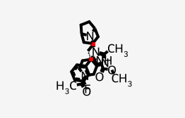 COC(=O)N[C@@H](CCN1C2CCC1CC(n1c(C)nc3c1CCN(C(C)=O)C3)C2)c1cccc(F)c1